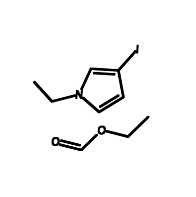 CCOC=O.CCn1ccc(I)c1